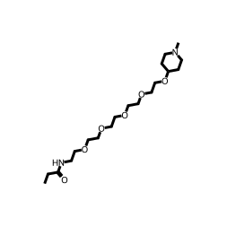 CCC(=O)NCCOCCOCCOCCOCCOC1CCN(C)CC1